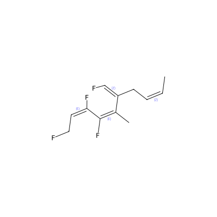 C/C=C\CC(=C/F)/C(C)=C(F)\C(F)=C/CF